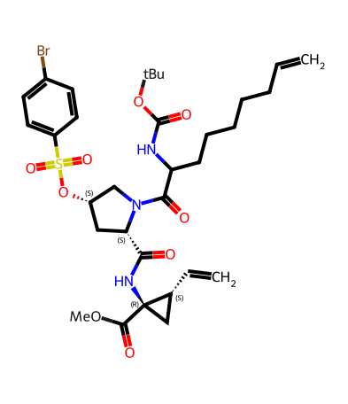 C=CCCCCCC(NC(=O)OC(C)(C)C)C(=O)N1C[C@@H](OS(=O)(=O)c2ccc(Br)cc2)C[C@H]1C(=O)N[C@]1(C(=O)OC)C[C@H]1C=C